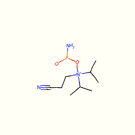 CC(C)[N+](CCC#N)(OP(N)[O-])C(C)C